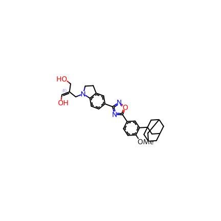 COc1ccc(-c2nc(-c3ccc4c(c3)CCN4C/C(=C\O)CO)no2)cc1C12CC3CC(CC(C3)C1)C2